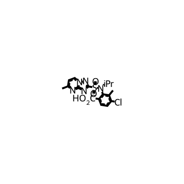 Cc1ccn2nc(S(=O)(=O)N(c3c(C(=O)O)ccc(Cl)c3C)C(C)C)nc2n1